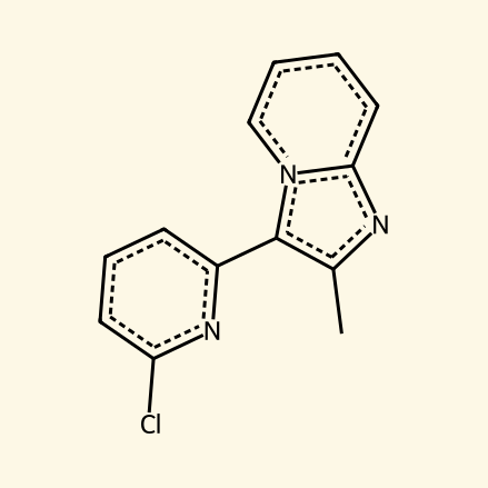 Cc1nc2ccccn2c1-c1cccc(Cl)n1